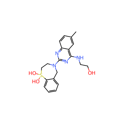 Cc1ccc2nc(N3CCS(O)(O)c4ccccc4C3)nc(NCCO)c2c1